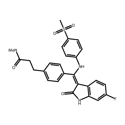 CNC(=O)CCc1ccc(C(Nc2ccc(S(C)(=O)=O)cc2)=C2C(=O)Nc3cc(F)ccc32)cc1